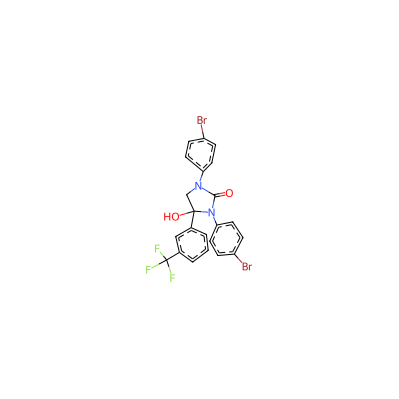 O=C1N(c2ccc(Br)cc2)CC(O)(c2cccc(C(F)(F)F)c2)N1c1ccc(Br)cc1